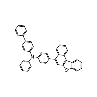 c1ccc(-c2ccc(N(c3ccccc3)c3ccc(-c4cc5sc6ccccc6c5c5ccccc45)cc3)cc2)cc1